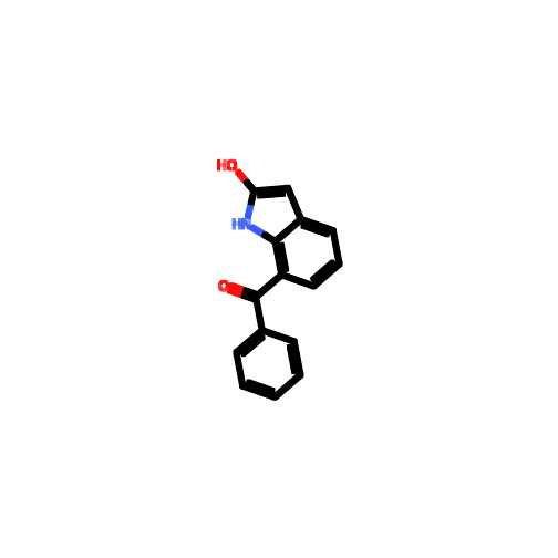 O=C(c1ccccc1)c1cccc2cc(O)[nH]c12